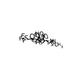 Cc1nnc(SCC2=C(C(=O)O)N3C(=O)[C@@H](OC(=O)CSC(F)(F)F)[C@@H]3SC2)s1